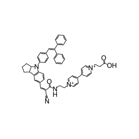 N#C/C(=C/c1ccc2c(c1)C1CCCC1N2c1ccc(C=C(c2ccccc2)c2ccccc2)cc1)C(=O)NCC[n+]1ccc(-c2cc[n+](CCC(=O)O)cc2)cc1